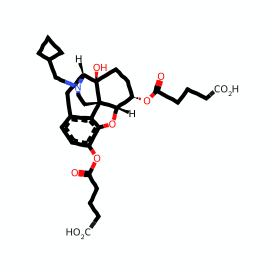 O=C(O)CCCC(=O)Oc1ccc2c3c1O[C@H]1[C@@H](OC(=O)CCCC(=O)O)CC[C@@]4(O)[C@@H](C2)N(CC2CCC2)CC[C@]314